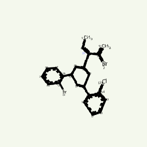 C=C(Br)/C(=C\C)C1CC(c2ccccc2Cl)CC(c2ccccc2Br)C1